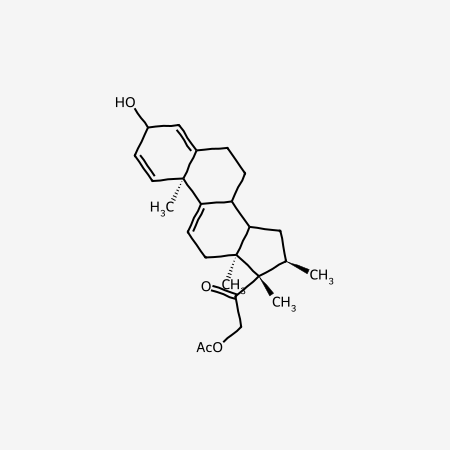 CC(=O)OCC(=O)[C@@]1(C)[C@H](C)CC2C3CCC4=CC(O)C=C[C@]4(C)C3=CC[C@@]21C